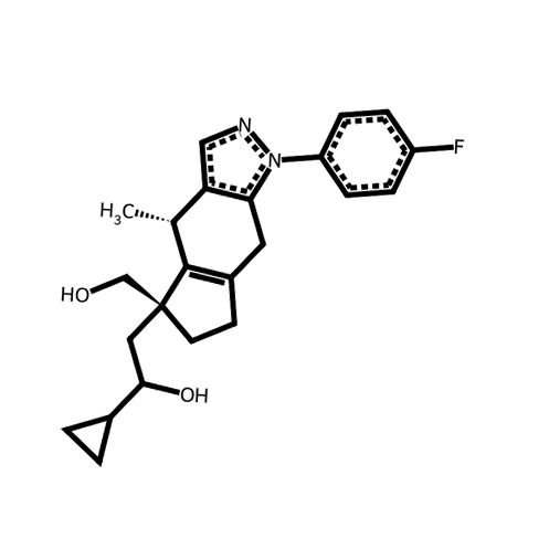 C[C@H]1C2=C(CC[C@]2(CO)CC(O)C2CC2)Cc2c1cnn2-c1ccc(F)cc1